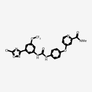 CNC(=O)c1cc(Oc2ccc(NC(=O)Nc3cc(OC(F)(F)F)cc(-c4noc(Cl)n4)c3)cc2)ccn1